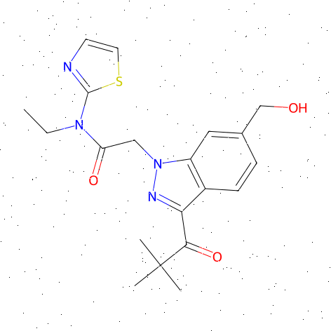 CCN(C(=O)Cn1nc(C(=O)C(C)(C)C)c2ccc(CO)cc21)c1nccs1